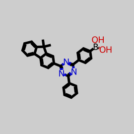 CC1(C)c2ccccc2-c2ccc(-c3nc(-c4ccccc4)nc(-c4ccc(B(O)O)cc4)n3)cc21